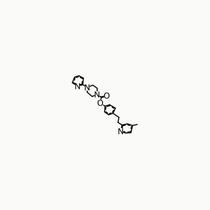 Cc1ccnc(CCc2ccc(OC(=O)N3CCN(c4ccccn4)CC3)cc2)c1